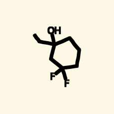 CCC1(O)CCCC(F)(F)C1